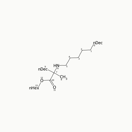 CCCCCCCCCCCCCCCNC(C)(CCCCCCCCCC)C(=O)OCCCCCC